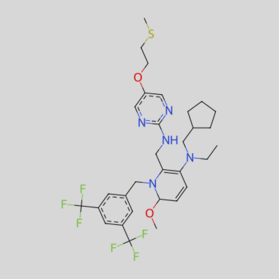 CCN(CC1CCCC1)C1=C(CNc2ncc(OCCSC)cn2)N(Cc2cc(C(F)(F)F)cc(C(F)(F)F)c2)C(OC)C=C1